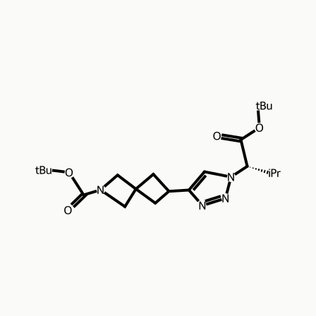 CC(C)[C@@H](C(=O)OC(C)(C)C)n1cc(C2CC3(C2)CN(C(=O)OC(C)(C)C)C3)nn1